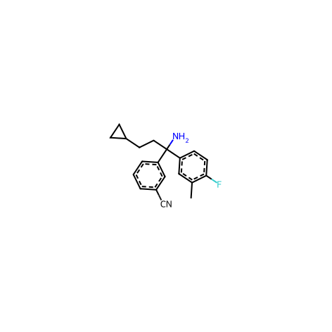 Cc1cc(C(N)(CCC2CC2)c2cccc(C#N)c2)ccc1F